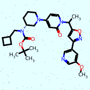 COc1cncc(-c2cc(C(C)n3ccc(N4CCC[C@@H](N(CC5CCC5)C(=O)OC(C)(C)C)C4)cc3=O)on2)c1